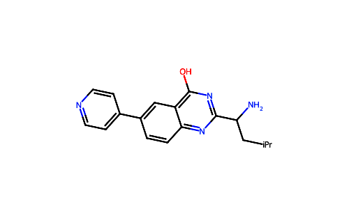 CC(C)CC(N)c1nc(O)c2cc(-c3ccncc3)ccc2n1